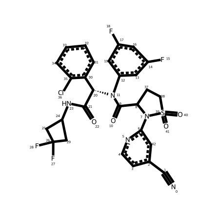 N#Cc1ccnc(N2C(C(=O)N(c3cc(F)cc(F)c3)[C@H](C(=O)NC3CC(F)(F)C3)c3ccccc3Cl)CCS2(=O)=O)c1